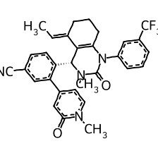 CC=C1CCCC2=C1[C@@H](c1ccc(C#N)cc1-c1ccn(C)c(=O)c1)N(C)C(=O)N2c1cccc(C(F)(F)F)c1